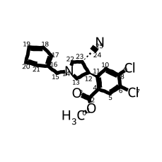 COC(=O)c1cc(Cl)c(Cl)cc1[C@H]1CN(Cc2ccccc2)C[C@@H]1C#N